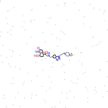 O=c1ccc2c([C@@H](O)CNCc3ccc4c(c3)nnn4CCCN3CCC4(C[CH]C4)CC3)ccc(O)c2[nH]1